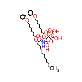 CCCCCCCCCCCCC(OC(=O)CCCCCCCOc1ccccc1)C(=O)N[C@H]1C(O)O[C@H](CO)[C@@H](OS(=O)(=O)O)[C@@H]1OC(=O)CCCCCCCOc1ccccc1